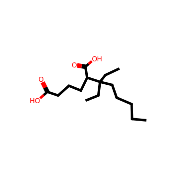 CCCCCC(CC)(CC)C(CCCC(=O)O)C(=O)O